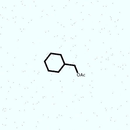 CC(=O)O[CH]C1CCCCC1